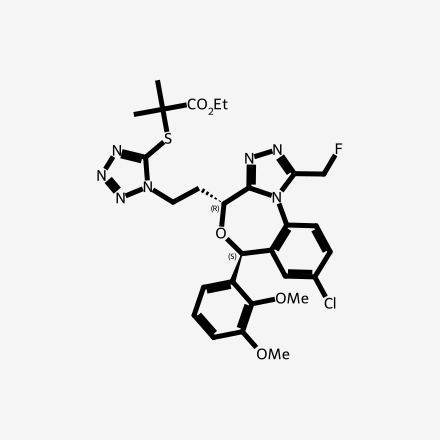 CCOC(=O)C(C)(C)Sc1nnnn1CC[C@H]1O[C@H](c2cccc(OC)c2OC)c2cc(Cl)ccc2-n2c(CF)nnc21